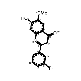 COc1cc2c(cc1O)N=C(c1cccc(F)c1)CC2=O